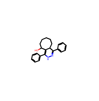 OC1CCCCCC2C(c3ccccc3)=NNC(c3ccccc3)=C12